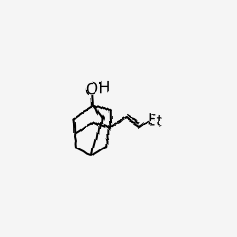 CCC=CC12CC3CC(CC(O)(C3)C1)C2